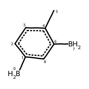 Bc1ccc(C)c(B)c1